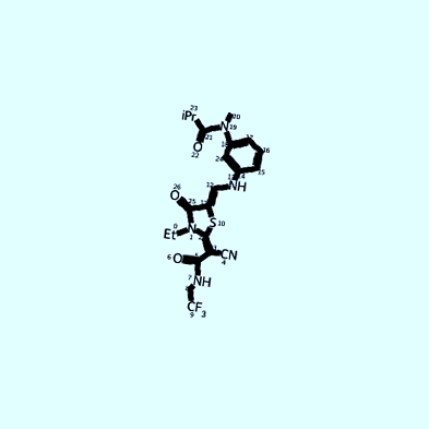 CCn1c(=C(C#N)C(=O)NCC(F)(F)F)sc(=CNc2cccc(N(C)C(=O)C(C)C)c2)c1=O